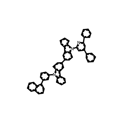 c1ccc(-c2cc(-c3ccccc3)nc(-n3c4ccccc4c4cc(-c5ccc6c(c5)c5ccccc5n6-c5cccc(-c6cccc7ccccc67)c5)ccc43)c2)cc1